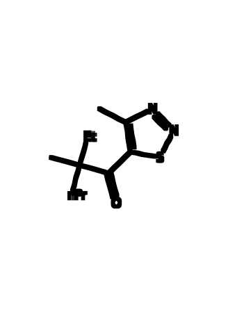 CCCC(C)(CC)C(=O)c1snnc1C